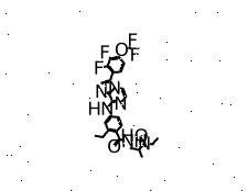 CCc1cc(Nc2nccn3c(-c4ccc(OC(F)F)c(F)c4F)cnc23)ccc1C(=O)NCC(C)N(O)CC